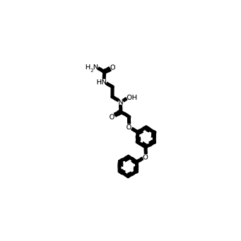 NC(=O)NCCN(O)C(=O)COc1cccc(Oc2ccccc2)c1